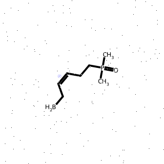 BC/C=C\CCP(C)(C)=O